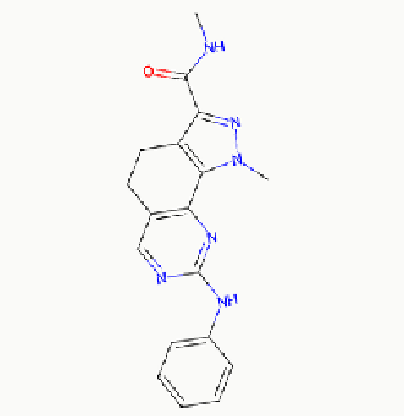 CNC(=O)c1nn(C)c2c1CCc1cnc(Nc3ccccc3)nc1-2